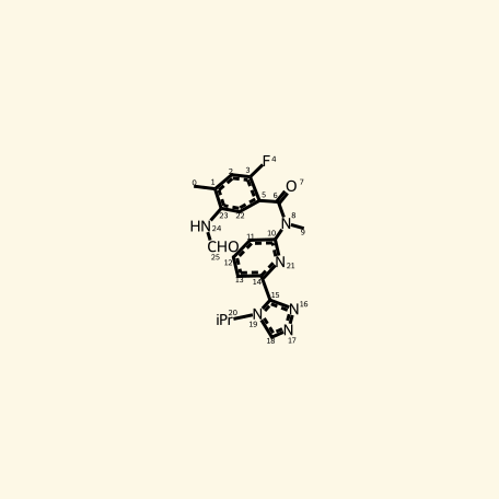 Cc1cc(F)c(C(=O)N(C)c2cccc(-c3nncn3C(C)C)n2)cc1NC=O